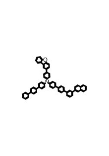 c1ccc(-c2ccc(-c3ccc(N(c4ccc(-c5ccc(-c6cccc(-c7ccc8ccccc8c7)c6)cc5)cc4)c4ccc(-c5ccc6oc7ccccc7c6c5)cc4)cc3)cc2)cc1